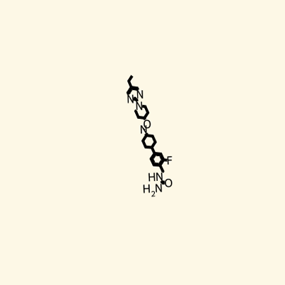 CCc1cnc(N2CCC(ON=C3CCC(c4ccc(CNC(N)=O)c(F)c4)CC3)CC2)nc1